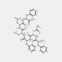 CC(C)C[C@H](NC(=O)[C@H](CS)NC(=O)[C@H](Cc1ccccc1)NC(=O)[C@H](CC(N)=O)NC(=O)[C@@H](N)Cc1ccccc1)C(=O)N[C@@H](Cc1ccccc1)C(=O)O